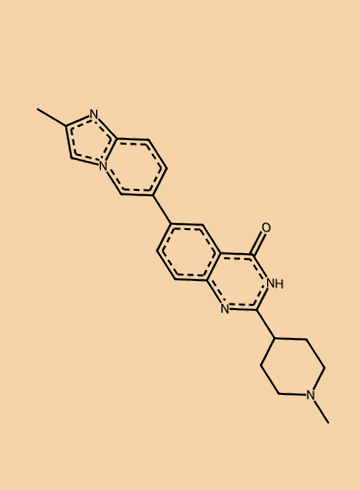 Cc1cn2cc(-c3ccc4nc(C5CCN(C)CC5)[nH]c(=O)c4c3)ccc2n1